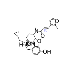 Cc1occc1/C=C/C(=O)N(C)C1CC[C@@]2(O)[C@H]3Cc4ccc(O)c5c4[C@@]2(CCN3CC2CC2)C1O5